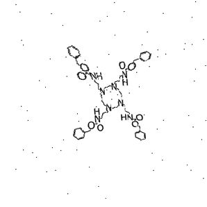 O=C(NCCCN1CCCN(CCCNC(=O)OCc2ccccc2)CCN(CCCNC(=O)OCc2ccccc2)CCCN(CCCNC(=O)OCc2ccccc2)CC1)OCc1ccccc1